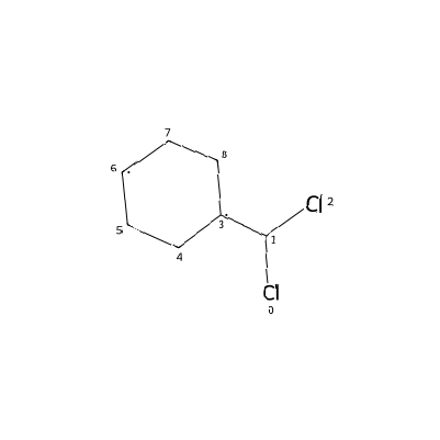 ClC(Cl)[C]1CC[CH]CC1